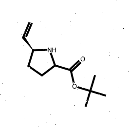 C=C[C@@H]1CCC(C(=O)OC(C)(C)C)N1